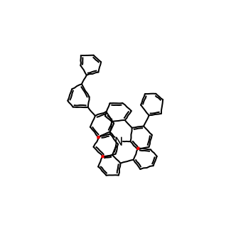 c1ccc(-c2cccc(-c3ccc(N(c4ccccc4-c4ccccc4)c4cccc(-c5ccccc5)c4-c4ccccc4-c4ccccc4)cc3)c2)cc1